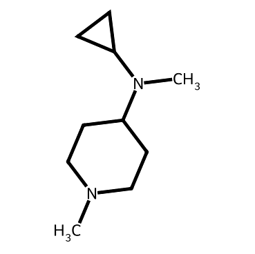 CN1CCC(N(C)C2CC2)CC1